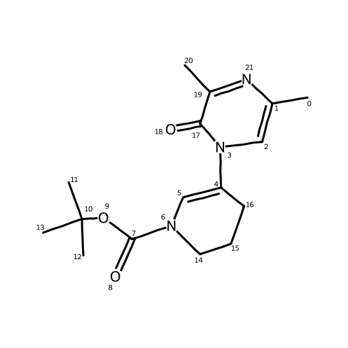 Cc1cn(C2=CN(C(=O)OC(C)(C)C)CCC2)c(=O)c(C)n1